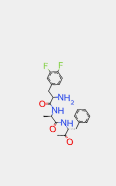 CC(=O)[C@@H](Cc1ccccc1)NC(=O)[C@@H](C)NC(=O)[C@H](N)Cc1ccc(F)c(F)c1